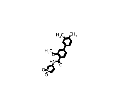 COc1cc(-c2ccc(C)c(C)c2)ccc1C(=O)NC1C=CS(=O)(=O)C1